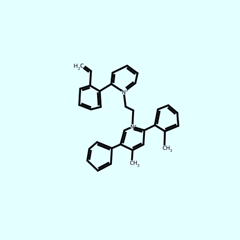 C=Cc1ccccc1-c1cccc[n+]1CC[n+]1cc(-c2ccccc2)c(C)cc1-c1ccccc1C